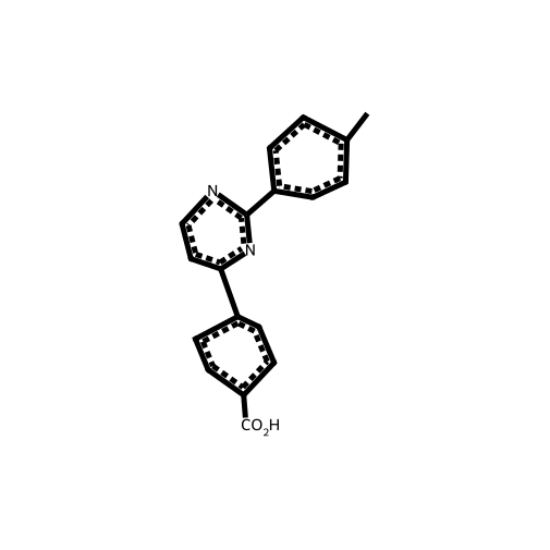 Cc1ccc(-c2nccc(-c3ccc(C(=O)O)cc3)n2)cc1